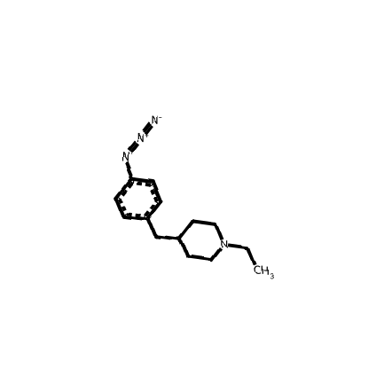 CCN1CCC(Cc2ccc(N=[N+]=[N-])cc2)CC1